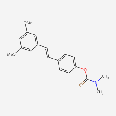 COc1cc(C=Cc2ccc(OC(=S)N(C)C)cc2)cc(OC)c1